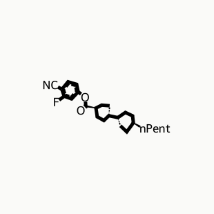 CCCCC[C@H]1CC[C@H]([C@H]2CC[C@H](C(=O)Oc3ccc(C#N)c(F)c3)CC2)CC1